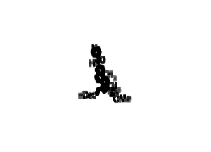 CCCCCCCCCCCCC1=C2C3=C(C=C[C@]2(C)C(n2cnc(OC)c2)=C1)[C@]1(C)CC=C(NC(=O)c2ccncc2)C=C1C=C3